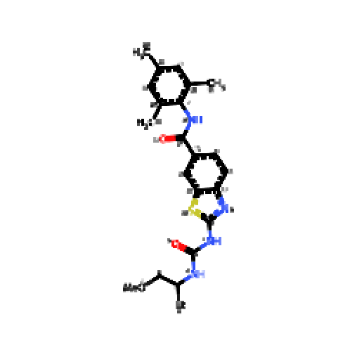 CCC(COC)NC(=O)Nc1nc2ccc(C(=O)Nc3c(C)cc(C)cc3C)cc2s1